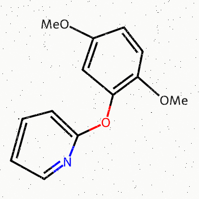 COc1ccc(OC)c(Oc2c[c]ccn2)c1